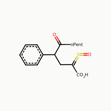 CCCCCC(=O)C(CC(=S=O)C(=O)O)c1ccccc1